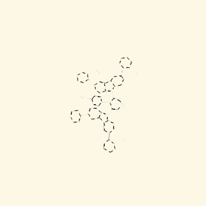 N#Cc1ccc(-c2c(-n3c4ccc(-c5ccccc5C#N)cc4c4cc(-c5ccccc5C#N)ccc43)cncc2-n2c3ccc(-c4ccccc4C#N)cc3c3cc(-c4ccccc4C#N)ccc32)cc1